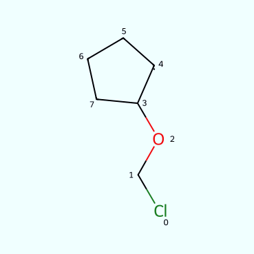 ClCOC1[CH]CCC1